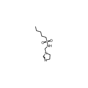 CCCCCS(=O)(=O)NCN1C=NCC1